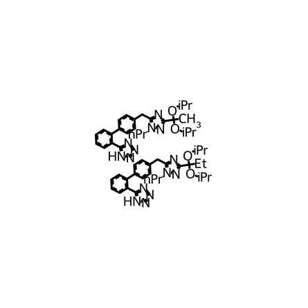 CCCn1nc(C(C)(OC(C)C)OC(C)C)nc1Cc1ccc(-c2ccccc2-c2nnn[nH]2)cc1.CCCn1nc(C(CC)(OC(C)C)OC(C)C)nc1Cc1ccc(-c2ccccc2-c2nnn[nH]2)cc1